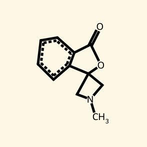 CN1CC2(C1)OC(=O)c1ccccc12